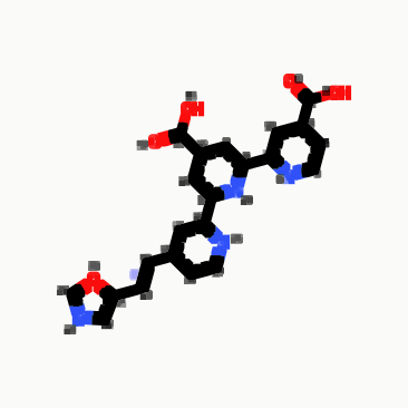 O=C(O)c1ccnc(-c2cc(C(=O)O)cc(-c3cc(/C=C/c4cnco4)ccn3)n2)c1